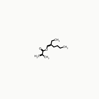 C=C(C)C(=O)OC=C(CC)CCCC